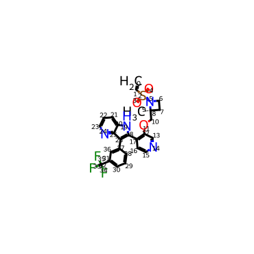 C=CS(=O)(=O)N1CC[C@@]1(C)COc1cnccc1-c1[nH]c2cccnc2c1-c1cccc(C(F)(F)F)c1